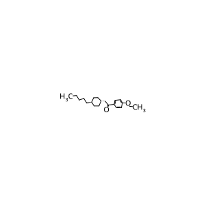 CCCCC[C@H]1CC[C@H](CC(=O)c2ccc(OCC)cc2)CC1